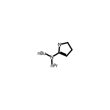 CCCCN(CCC)C1=CCC[N]1